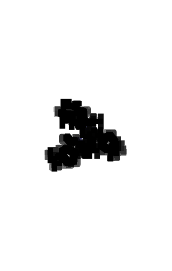 CC/C=C(/N=C(\N=C(/C)c1csc(C(C)(F)F)n1)NC1CCC(F)(F)CC1)NC1CCC(F)(F)CC1